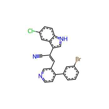 N#CC(=Cc1cnccc1-c1cccc(Br)c1)c1c[nH]c2ccc(Cl)cc12